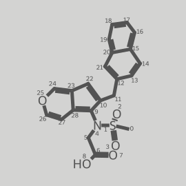 CS(=O)(=O)N(CC(=O)O)c1c(Cc2ccc3ccccc3c2)cc2coccc1-2